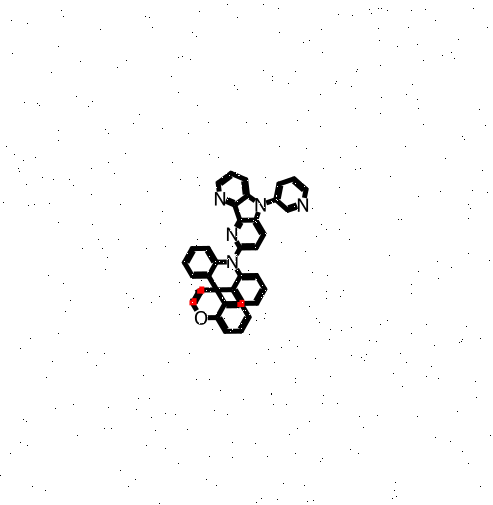 c1cncc(-n2c3cccnc3c3nc(N4c5ccccc5C5(c6ccccc6Oc6ccccc65)c5ccccc54)ccc32)c1